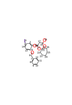 Ic1ccc(OCc2ccccc2)cc1.O=C1CC(=O)OC2(CCCCC2)O1